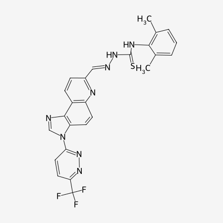 Cc1cccc(C)c1NC(=S)NN=Cc1ccc2c(ccc3c2ncn3-c2ccc(C(F)(F)F)nn2)n1